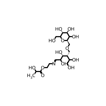 CC(O)C(=O)OCC/N=C/C(O)[C@H](O)[C@H](COC[C@H]1OC(CO)[C@H](O)[C@@H](O)C1O)C(O)CO